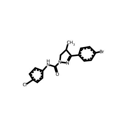 CC1CN(C(=O)Nc2ccc(Cl)cc2)N=C1c1ccc(Br)cc1